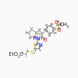 CCOC(=O)CCSc1cnc(NC(=O)C(CC2CCCC2)c2ccc(S(C)(=O)=O)cc2)s1